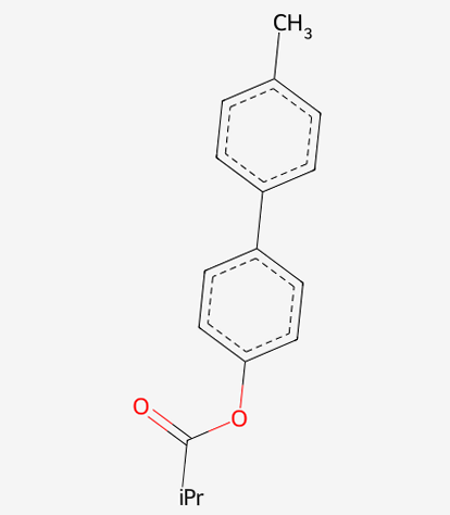 Cc1ccc(-c2ccc(OC(=O)C(C)C)cc2)cc1